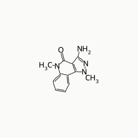 Cn1nc(N)c2c(=O)n(C)c3ccccc3c21